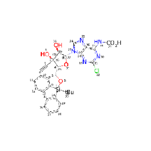 C#C[C@@]1(O)[C@@H](CO[Si](c2ccccc2)(c2ccccc2)C(C)(C)C)O[C@@H](n2cnc3c(NC(=O)O)nc(Cl)nc32)[C@@H]1O